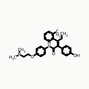 CCC(=C(C(=O)Nc1ccc(OCCN(C)C)cc1)c1ccc(O)cc1)c1ccccc1C